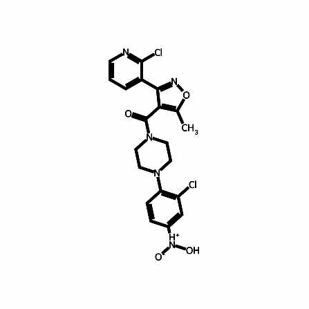 Cc1onc(-c2cccnc2Cl)c1C(=O)N1CCN(c2ccc([NH+]([O-])O)cc2Cl)CC1